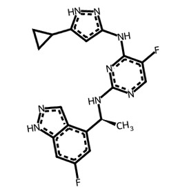 C[C@H](Nc1ncc(F)c(Nc2cc(C3CC3)[nH]n2)n1)c1cc(F)cc2[nH]ncc12